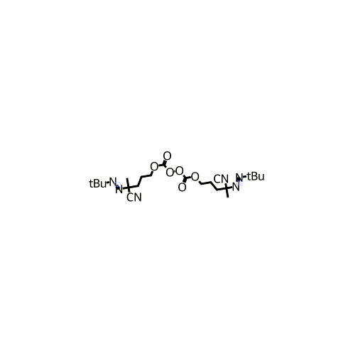 CC(C)(C)/N=N/C(C)(C#N)CCCOC(=O)OOC(=O)OCCCC(C)(C#N)/N=N/C(C)(C)C